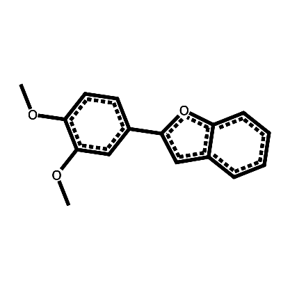 COc1ccc(-c2cc3ccccc3o2)cc1OC